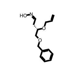 C=CCO[C@@H](C/C=N\O)COCc1ccccc1